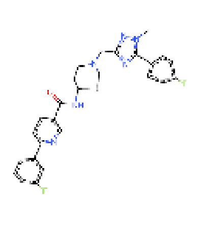 Cn1nc(CN2CCC(NC(=O)c3ccc(-c4cccc(F)c4)nc3)CC2)nc1-c1ccc(F)cc1